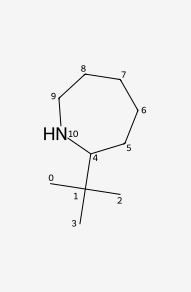 CC(C)(C)C1CCCCCN1